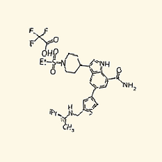 CCS(=O)(=O)N1CCC(c2c[nH]c3c(C(N)=O)cc(-c4csc(CN[C@@H](C)C(C)C)c4)cc23)CC1.O=C(O)C(F)(F)F